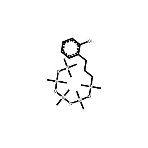 C[Si](C)(C)O[Si](C)(C)O[Si](C)(C)O[Si](C)(C)O[Si](C)(C)CCCc1ccccc1O